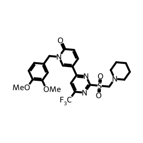 COc1ccc(Cn2cc(-c3cc(C(F)(F)F)nc(S(=O)(=O)CN4CCCCC4)n3)ccc2=O)cc1OC